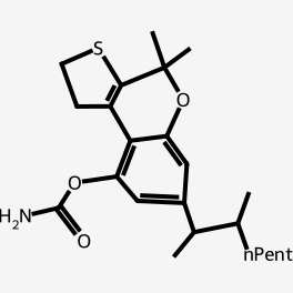 CCCCCC(C)C(C)c1cc(OC(N)=O)c2c(c1)OC(C)(C)C1=C2CCS1